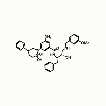 COc1cccc(CNC[C@H](O)[C@H](Cc2ccccc2)NC(=O)c2cc(N)cc(N3CC(c4ccccc4)CCS3(O)O)c2)c1